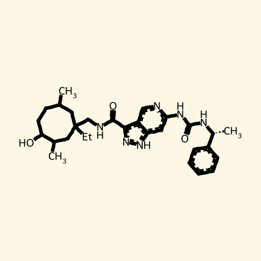 CCC1(CNC(=O)c2n[nH]c3cc(NC(=O)N[C@H](C)c4ccccc4)ncc23)CC(C)CCC(O)C(C)C1